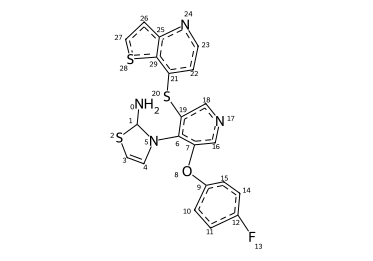 NC1SC=CN1c1c(Oc2ccc(F)cc2)cncc1Sc1ccnc2ccsc12